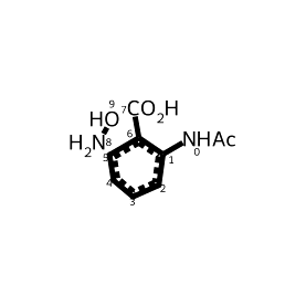 CC(=O)Nc1ccccc1C(=O)O.NO